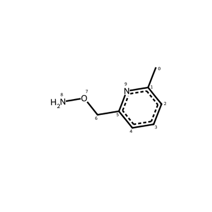 Cc1cccc(CON)n1